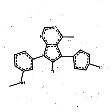 CNc1cccc(-n2c(Cl)c(-c3ccc(Cl)cc3)c3c(C)ncnc32)c1